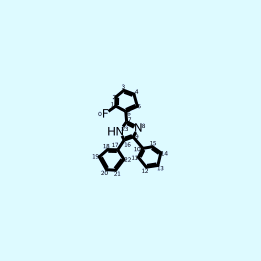 Fc1ccccc1-c1nc(-c2ccccc2)c(-c2ccccc2)[nH]1